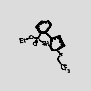 CCOP(=O)(S)c1ccccc1-c1ccc(SCC(F)(F)F)cc1